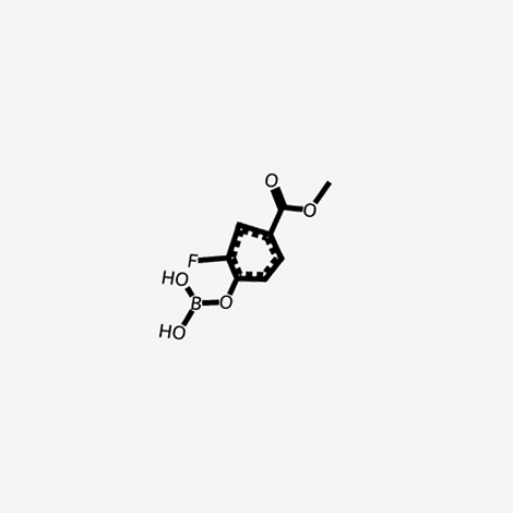 COC(=O)c1ccc(OB(O)O)c(F)c1